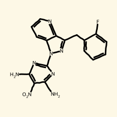 Nc1nc(-n2nc(Cc3ccccc3F)c3ncccc32)nc(N)c1[N+](=O)[O-]